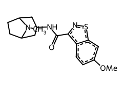 COc1ccc2c(C(=O)NC3CC4CCC(C3)N4C)nsc2c1